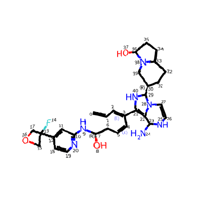 C=C/C=C(\C=C/C[C@@H](O)Nc1cc(C2(F)COC2)ccn1)C1=C2C(N)NC=CN2C([C@@H]2CCC3CCC(O)N3C2)N1